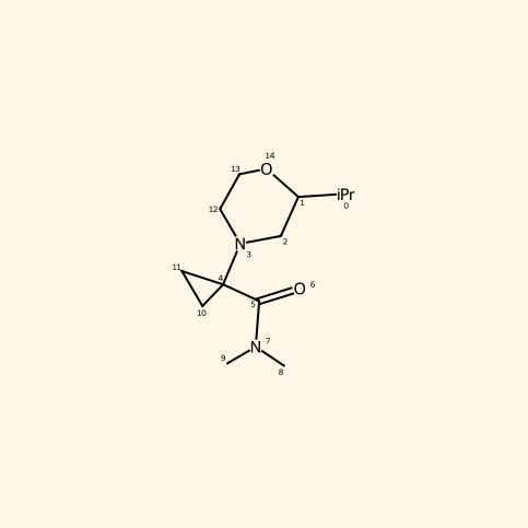 CC(C)C1CN(C2(C(=O)N(C)C)CC2)CCO1